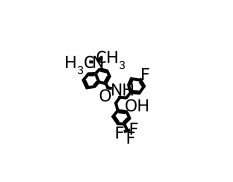 CN(C)c1ccc(C(=O)NC(Cc2ccc(C(F)(F)F)cc2)C(O)c2ccc(F)cc2)c2ccccc12